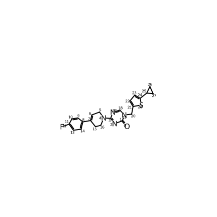 O=c1nc(N2CC=C(c3ccc(F)cc3)CC2)ncn1Cc1ccc(C2CC2)s1